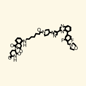 O=C1CCC(N2C(=O)Cc3c(NCCCCCCC(=O)N4CCC(n5cc(-c6cnc7cccc(-c8cc(F)c(CN9CCOCC9)c(F)c8)c7n6)cn5)CC4)cccc3C2=O)C(=O)N1